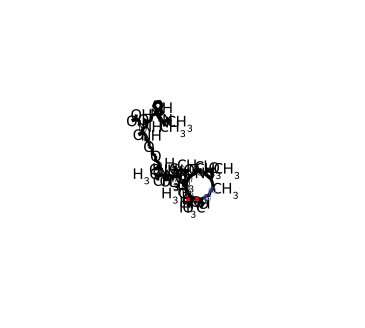 CNN(C)Cc1cc2ccccc2n1CCC(=O)N[C@@H](CCC(=O)O)C(=O)NCCOCCOCCC(=O)N[C@H](C(=O)N[C@@H](C)C(=O)N(C)[C@@H](C)C(=O)O[C@H]1CC(=O)N(C)c2cc(cc(OC)c2Cl)C/C(C)=C/C=C/[C@@H](OC)[C@@]2(O)C[C@H](OC(=O)N2)[C@@H](C)[C@@H]2O[C@]12C)C(C)C